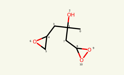 CC(O)(CC1CO1)CC1OO1